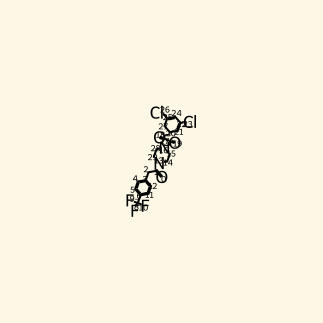 O=C(Cc1ccc(C(F)(F)F)cc1)N1CCN(S(=O)(=O)C2C=C(Cl)C=C(Cl)C2)CC1